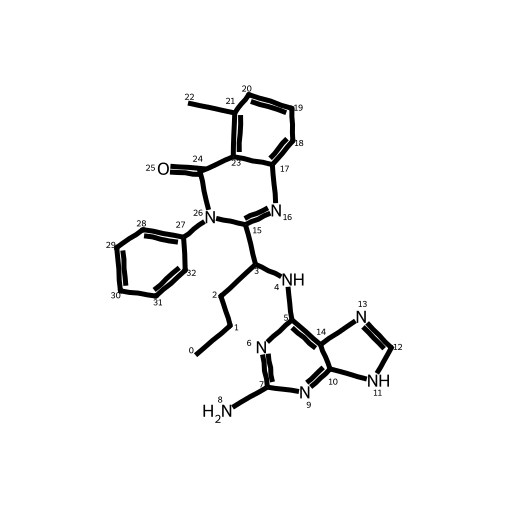 CCCC(Nc1nc(N)nc2[nH]cnc12)c1nc2cccc(C)c2c(=O)n1-c1ccccc1